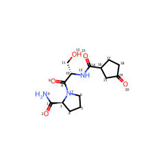 NC(=O)[C@@H]1CCCN1C(=O)[C@H](CO)NC(=O)C1CCC(=O)C1